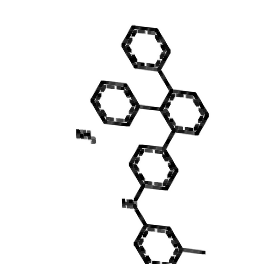 Cc1cccc(Nc2ccc(-c3cccc(-c4ccccc4)c3-c3ccccc3)cc2)c1.N